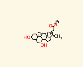 CC(C)OC(=O)CC[C@@H](C)[C@H]1CCC2C3C(CC[C@@]21C)[C@@]1(C)CC[C@@H](O)CC1C[C@H]3O